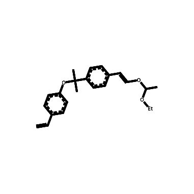 C=Cc1ccc(OC(C)(C)c2ccc(C=COC(C)OCC)cc2)cc1